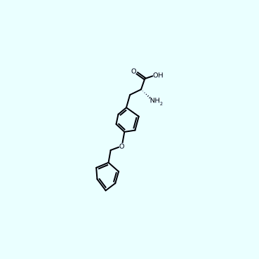 N[C@H](Cc1ccc(OCc2ccccc2)cc1)C(=O)O